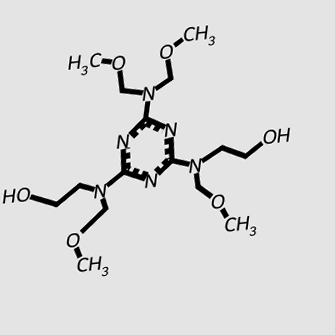 COCN(CCO)c1nc(N(CCO)COC)nc(N(COC)COC)n1